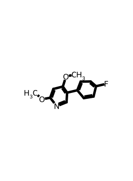 COc1cc(OC)c(-c2ccc(F)cc2)cn1